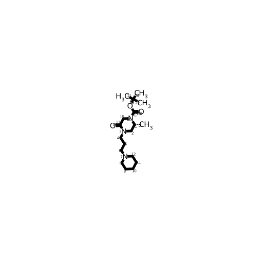 C[C@@H]1CN(CCCN2CCCCC2)C(=O)CN1C(=O)OC(C)(C)C